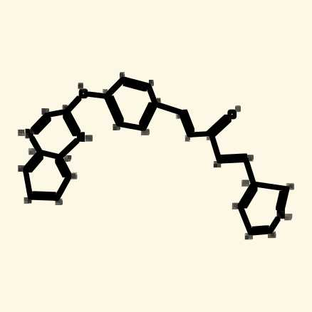 O=C(C=Cc1ccc(Oc2cnc3ccccc3n2)cc1)C=Cc1cccnc1